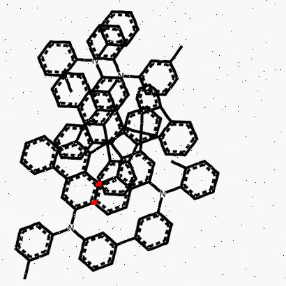 Cc1cccc(N(c2cccc(-c3cccc(N(c4ccccc4C)c4cc5c(c6ccccc46)-c4c(c6ccc(N(c7ccccc7)c7ccccc7C)cc6c6ccccc46)C54c5ccccc5-c5ccccc54)c3)c2)c2ccc3c4c(c5ccccc5c3c2)-c2c(cc(N(c3ccccc3)c3cccc(C)c3)c3ccccc23)C42c3ccccc3-c3ccccc32)c1